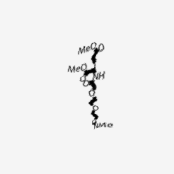 CNOCCOCCOCC(=O)N[C@@H](CCC(=O)OC)C(=O)OC